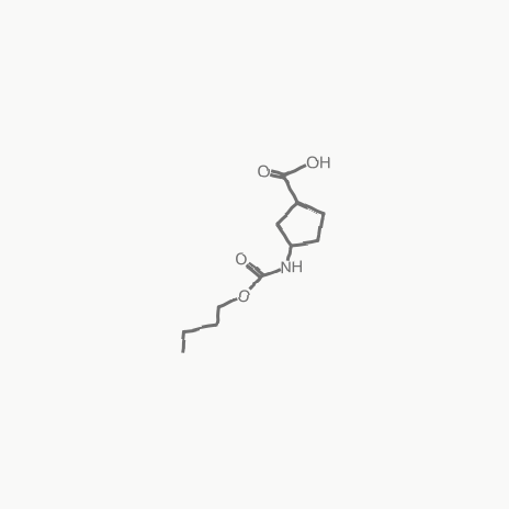 CCCCOC(=O)NC1CCC(C(=O)O)C1